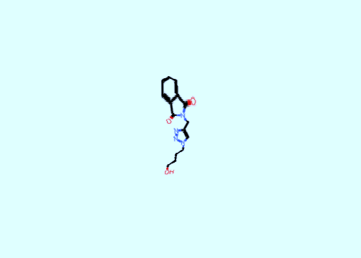 O=C1c2ccccc2C(=O)N1Cc1cn(CCCCO)nn1